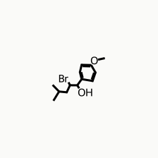 COc1ccc(C(O)C(Br)CC(C)C)cc1